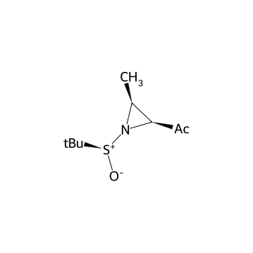 CC(=O)[C@@H]1[C@H](C)N1[S@@+]([O-])C(C)(C)C